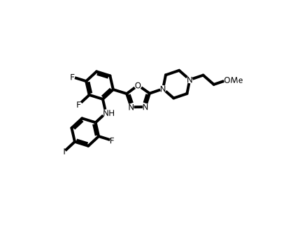 COCCN1CCN(c2nnc(-c3ccc(F)c(F)c3Nc3ccc(I)cc3F)o2)CC1